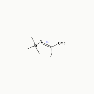 CO/C(C)=N/[Si](C)(C)C